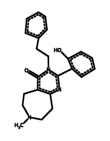 CN1CCc2nc(-c3ccccc3O)n(CCc3ccccc3)c(=O)c2CC1